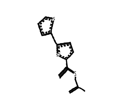 C=C(C)SC(=C)c1ccc(-c2cccs2)s1